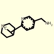 NCc1ccc(C2CN3CCC2CC3)nc1